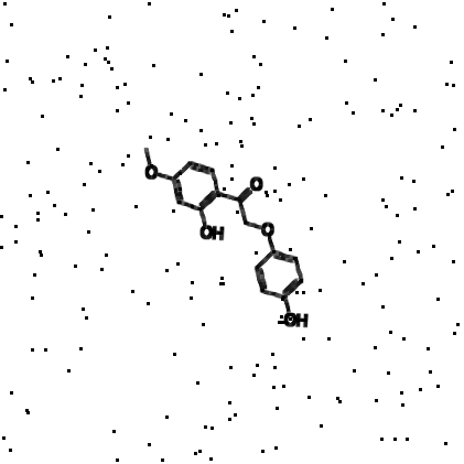 COc1ccc(C(=O)COc2ccc(O)cc2)c(O)c1